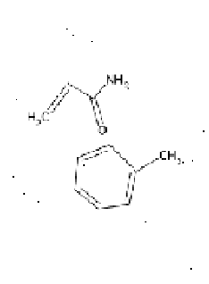 C=CC(N)=O.Cc1ccccc1